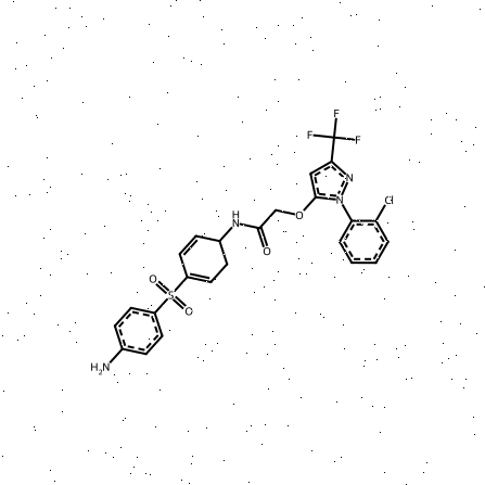 Nc1ccc(S(=O)(=O)C2=CCC(NC(=O)COc3cc(C(F)(F)F)nn3-c3ccccc3Cl)C=C2)cc1